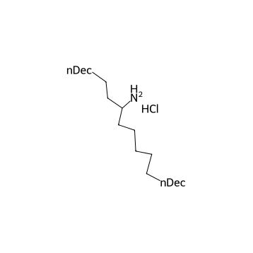 CCCCCCCCCCCCCCCC(N)CCCCCCCCCCCC.Cl